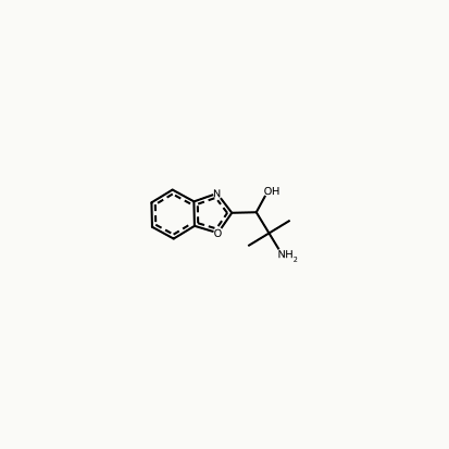 CC(C)(N)C(O)c1nc2ccccc2o1